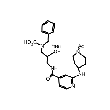 CC(=O)N1CCC(Nc2cc(C(=O)NCC(O)CN(C(=O)O)[C@H](c3ccccc3)C(C)(C)C)ccn2)CC1